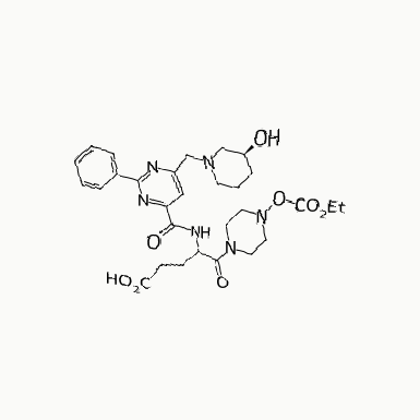 CCOC(=O)ON1CCN(C(=O)C(CCC(=O)O)NC(=O)c2cc(CN3CCC[C@H](O)C3)nc(-c3ccccc3)n2)CC1